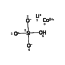 [Co+2].[Li+].[O-][Si]([O-])([O-])O